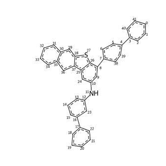 c1ccc(-c2ccc(-c3cc(Nc4cccc(-c5ccccc5)c4)cc4c3sc3cc5ccccc5cc34)cc2)cc1